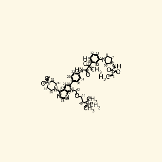 C=CS(=O)(=O)N[C@H]1CCN(c2cccc(C(C)(C)C(=O)Nc3ccc(-c4cc5c(N6CCS(=O)(=O)CC6)ncnc5n4COCC[Si](C)(C)C)cc3)c2)C1